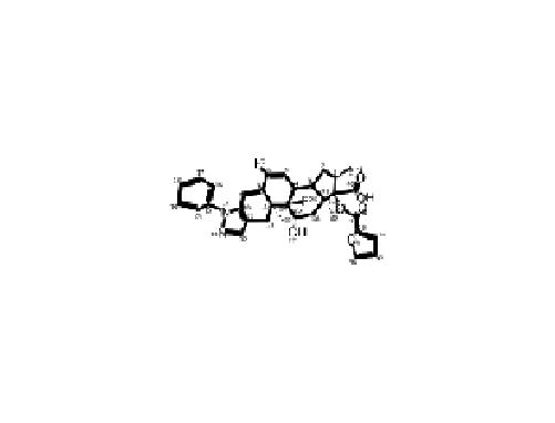 C[C@@H]1CC2C3C=C(F)C4=Cc5c(cnn5-c5ccccc5)C[C@]4(C)[C@@]3(F)[C@@H](O)C[C@]2(C)[C@@]1(OC(=O)c1ccco1)C(=O)O